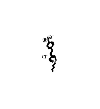 CCCCC[n+]1ccc(/C=C/c2ccc([N+](=O)[O-])cc2)cc1.[Cl-]